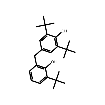 CC(C)(C)c1cccc(Cc2cc(C(C)(C)C)c(O)c(C(C)(C)C)c2)c1O